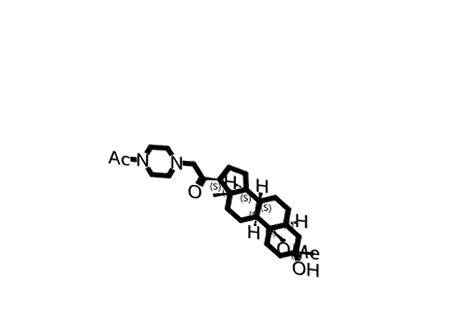 COC[C@]12CC[C@@](C)(O)C[C@@H]1CC[C@H]1[C@@H]3CC[C@H](C(=O)CN4CCN(C(C)=O)CC4)[C@@]3(C)CC[C@@H]12